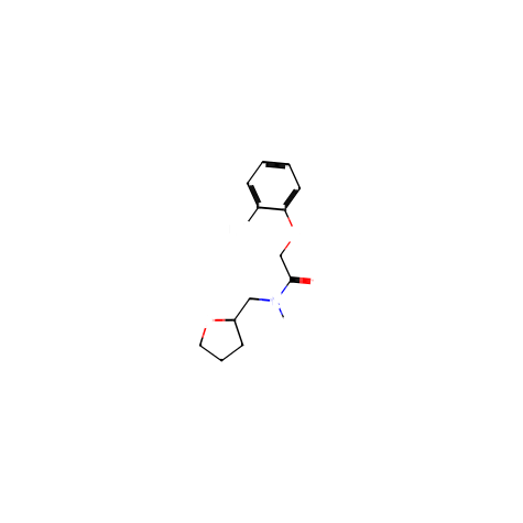 CCN(CC1CCCO1)C(=O)COc1ccccc1C